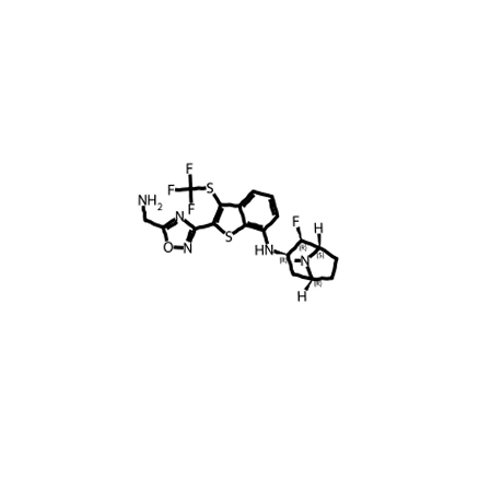 CN1[C@@H]2CC[C@H]1[C@H](F)[C@H](Nc1cccc3c(SC(F)(F)F)c(-c4noc(CN)n4)sc13)C2